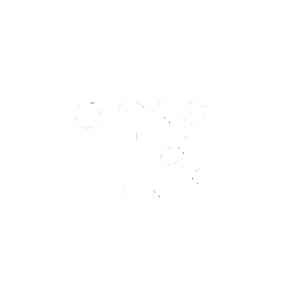 CN1CCC(N(C)C(=O)c2ccc3n2Cc2ccccc2N(C(=O)C2=CC=C(c4ccccc4)C(C)(C(F)(F)F)C2)C3)C1